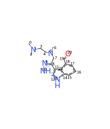 CN(C)CCN(C)C/C(=N/N)c1c[nH]c2cccc(C=O)c12